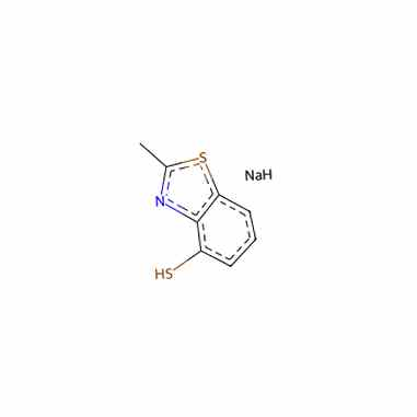 Cc1nc2c(S)cccc2s1.[NaH]